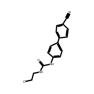 N#Cc1ccc(-c2ccc(NC(=O)NCCCl)cc2)cc1